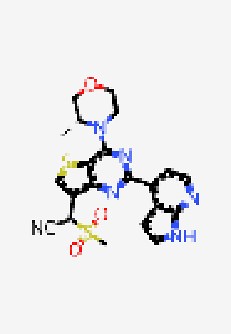 C[C@@H]1COCCN1c1nc(-c2ccnc3[nH]ccc23)nc2c(C(C#N)S(C)(=O)=O)csc12